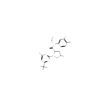 CCN(C(=O)C1CC(O)CN1c1nc(C)cc(C(F)(F)F)n1)c1ccc(F)c(Cl)c1